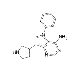 Nc1ncnc2c(C3CCNC3)cn(-c3ccccc3)c12